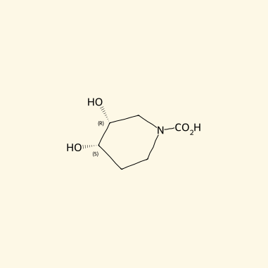 O=C(O)N1CC[C@H](O)[C@H](O)C1